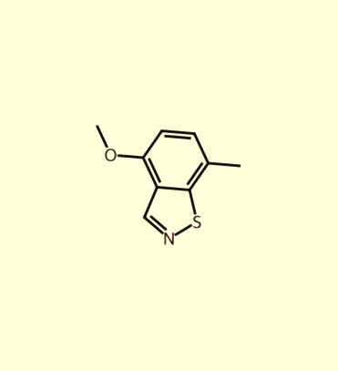 COc1ccc(C)c2sncc12